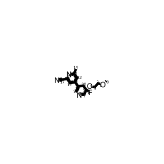 COCCOC1(F)C=NC=C(c2cc(C)nc(C#N)c2)C1